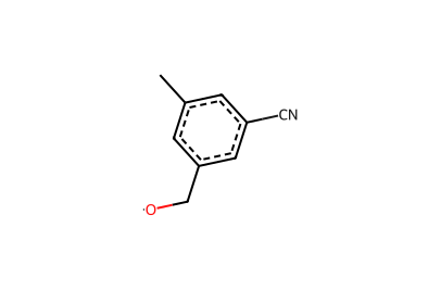 Cc1cc(C#N)cc(C[O])c1